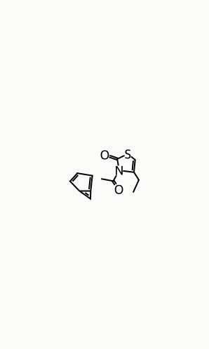 CCc1csc(=O)n1C(C)=O.c1cc2cc-2c1